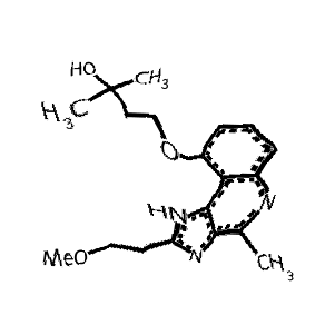 COCCc1nc2c(C)nc3cccc(OCCC(C)(C)O)c3c2[nH]1